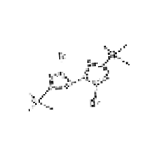 C[Si](C)(C)c1cc(-c2sc([Si](C)(C)C)cc2Br)c(Br)s1